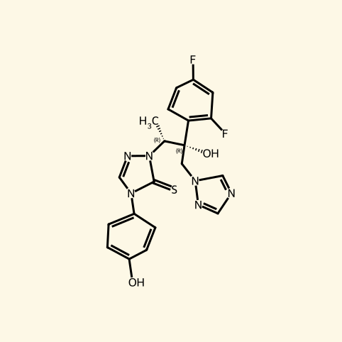 C[C@@H](n1ncn(-c2ccc(O)cc2)c1=S)[C@](O)(Cn1cncn1)c1ccc(F)cc1F